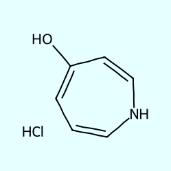 Cl.OC1=CC=CNC=C1